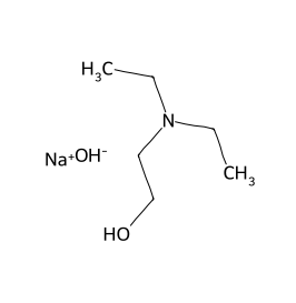 CCN(CC)CCO.[Na+].[OH-]